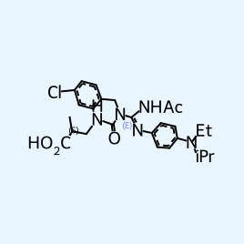 CCN(c1ccc(/N=C(\NC(C)=O)N(Cc2ccc(Cl)cc2)C(=O)NC[C@H](C)C(=O)O)cc1)C(C)C